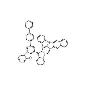 c1ccc(-c2ccc(-c3nc(-n4c5ccccc5c5cc6c7cc8ccccc8cc7n7c8ccccc8c(c54)c67)c4oc5ccccc5c4n3)cc2)cc1